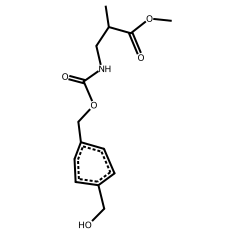 COC(=O)C(C)CNC(=O)OCc1ccc(CO)cc1